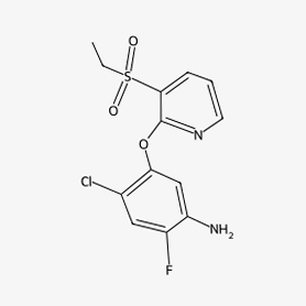 CCS(=O)(=O)c1cccnc1Oc1cc(N)c(F)cc1Cl